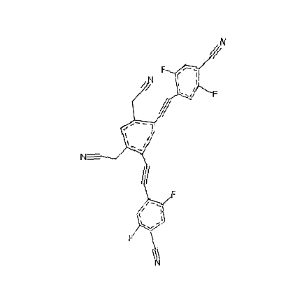 N#CCc1cc(CC#N)c(C#Cc2cc(F)c(C#N)cc2F)cc1C#Cc1cc(F)c(C#N)cc1F